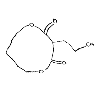 N#CCCC1C(=O)OCCCCCOC1=O